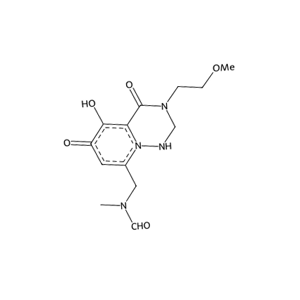 COCCN1CNn2c(CN(C)C=O)cc(=O)c(O)c2C1=O